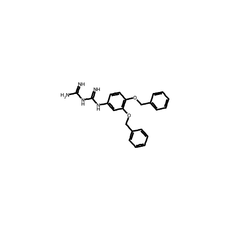 N=C(N)NC(=N)Nc1ccc(OCc2ccccc2)c(OCc2ccccc2)c1